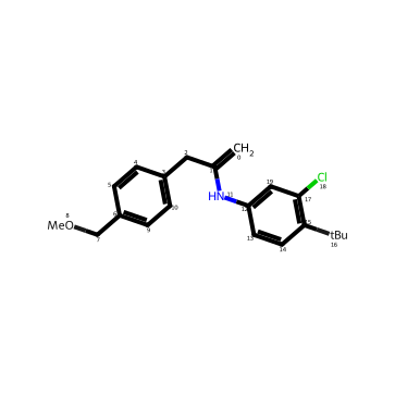 C=C(Cc1ccc(COC)cc1)Nc1ccc(C(C)(C)C)c(Cl)c1